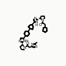 Cc1nc(CC(=O)N2CCC[C@H]2c2ncc(-c3ccc(-c4ccc(-c5cnc([C@@H]6CCCN6C(=O)Cc6ccccc6)[nH]5)cc4)cc3)[nH]2)cs1